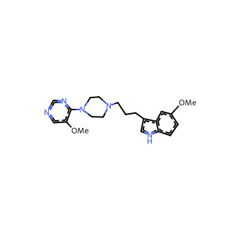 COc1ccc2[nH]cc(CCCN3CCN(c4ncncc4OC)CC3)c2c1